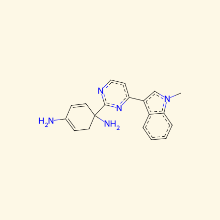 Cn1cc(-c2ccnc(C3(N)C=CC(N)=CC3)n2)c2ccccc21